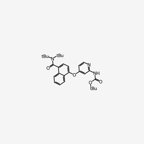 CC(C)(C)OC(=O)Nc1cc(Oc2ccc(C(=O)N(C(C)(C)C)C(C)(C)C)c3ccccc23)ccn1